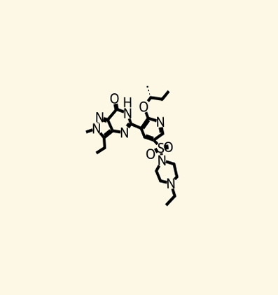 CCc1c2nc(-c3cc(S(=O)(=O)N4CCN(CC)CC4)cnc3O[C@H](C)CC)[nH]c(=O)c2nn1C